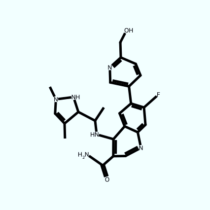 CC1=CN(C)NC1C(C)Nc1c(C(N)=O)cnc2cc(F)c(-c3ccc(CO)nc3)cc12